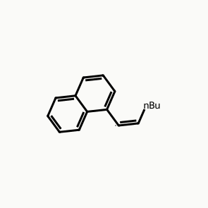 CCCC/C=[C]\c1cccc2ccccc12